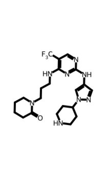 O=C1CCCCN1CCCNc1nc(Nc2cnn(C3CCNCC3)c2)ncc1C(F)(F)F